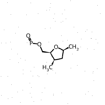 C[C@@H]1C[C@H](C)O[C@@H]1COP=O